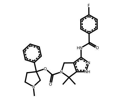 CN1CCC(OC(=O)N2Cc3c(NC(=O)c4ccc(F)cc4)n[nH]c3C2(C)C)(c2ccccc2)C1